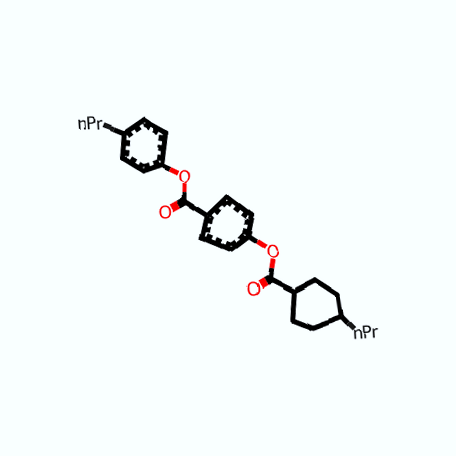 CCCc1ccc(OC(=O)c2ccc(OC(=O)C3CCC(CCC)CC3)cc2)cc1